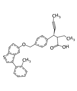 CC#C[C@H](c1ccc(COc2ccc3scc(-c4ccccc4C)c3c2)cc1)C(CC)C(=O)O